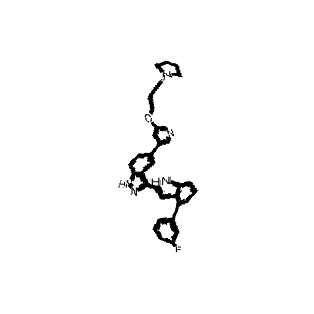 Fc1cccc(-c2cccc3[nH]c(-c4n[nH]c5ccc(-c6cncc(OCCN7CCCC7)c6)cc45)cc23)c1